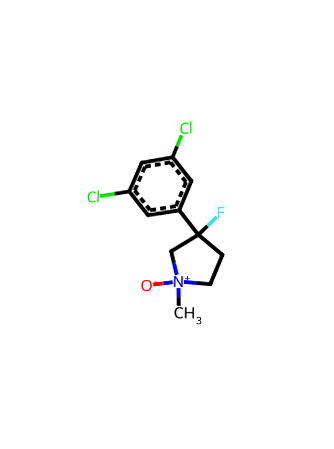 C[N+]1([O-])CCC(F)(c2cc(Cl)cc(Cl)c2)C1